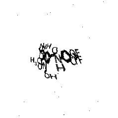 CC1(C)C(=O)N(CCO)c2cc(C(=O)Nc3ccc(OC(F)(F)Cl)cc3)cc(-c3ccn[nH]3)c21